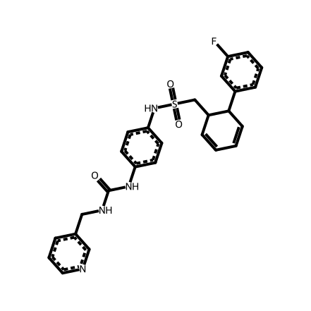 O=C(NCc1cccnc1)Nc1ccc(NS(=O)(=O)CC2C=CC=CC2c2cccc(F)c2)cc1